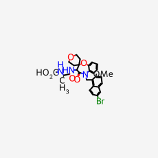 COc1ccc2cc(Br)ccc2c1CN1C(=O)C(NC(=O)[C@H](C)NC(=O)O)C2(CCOCC2)Oc2ccccc21